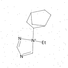 CC[N+]1(C2CC3CCC2C3)C=NC=N1